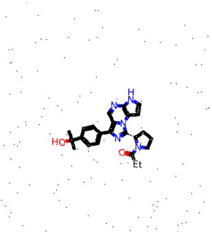 CCC(=O)N1CCC[C@H]1c1nc(-c2ccc(C(C)(C)O)cc2)c2cnc3[nH]ccc3n12